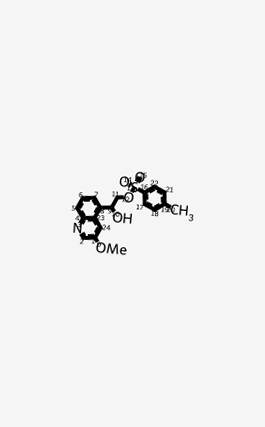 COc1cnc2cccc(C(O)COS(=O)(=O)c3ccc(C)cc3)c2c1